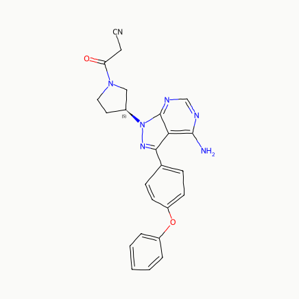 N#CCC(=O)N1CC[C@H](n2nc(-c3ccc(Oc4ccccc4)cc3)c3c(N)ncnc32)C1